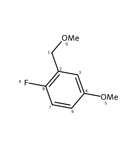 COCc1cc(OC)ccc1F